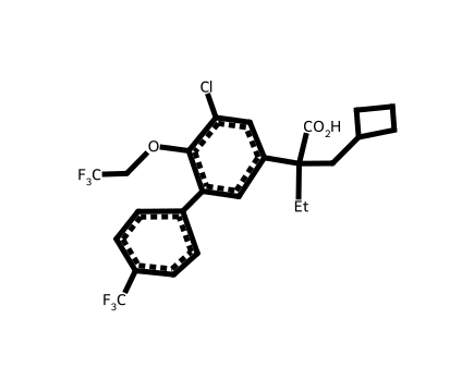 CCC(CC1CCC1)(C(=O)O)c1cc(Cl)c(OCC(F)(F)F)c(-c2ccc(C(F)(F)F)cc2)c1